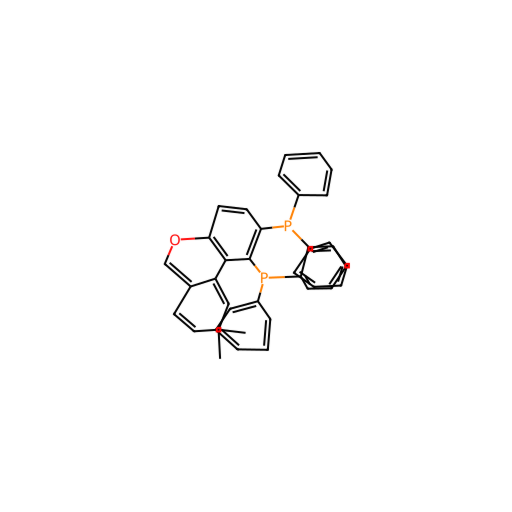 CC1(C)C=CC2=COc3ccc(P(c4ccccc4)c4ccccc4)c(P(c4ccccc4)c4ccccc4)c3C2=C1